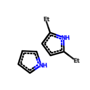 CCc1ccc(CC)[nH]1.c1cc[nH]c1